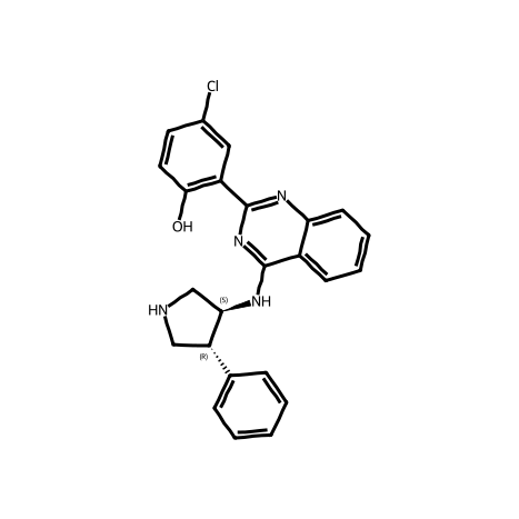 Oc1ccc(Cl)cc1-c1nc(N[C@@H]2CNC[C@H]2c2ccccc2)c2ccccc2n1